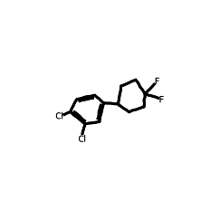 FC1(F)CC[C](c2ccc(Cl)c(Cl)c2)CC1